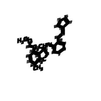 CCC(C)(Pc1ccccc1/C=N/n1cccc1)c1cc(C)ccc1OCOC